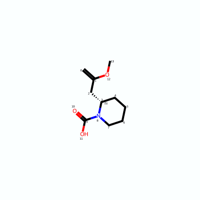 C=C(C[C@@H]1CCCCN1C(=O)O)OC